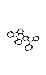 c1ccc(-n2c3ccccc3c3cc(-c4cncc5c6ccccc6n(-c6ccccc6)c45)ccc32)cc1